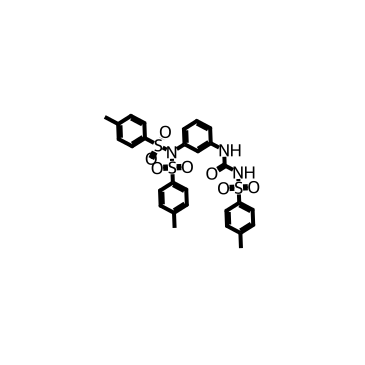 Cc1ccc(S(=O)(=O)NC(=O)Nc2cccc(N(S(=O)(=O)c3ccc(C)cc3)S(=O)(=O)c3ccc(C)cc3)c2)cc1